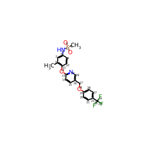 Cc1cc(NS(C)(=O)=O)ccc1Oc1ccc(COc2ccc(C(F)(F)F)cc2)cn1